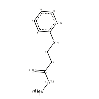 CCCCCCNC(=S)CCSc1ccccn1